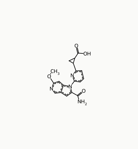 COc1cc2c(cn1)cc(C(N)=O)n2-c1cccc(C2CC2C(=O)O)n1